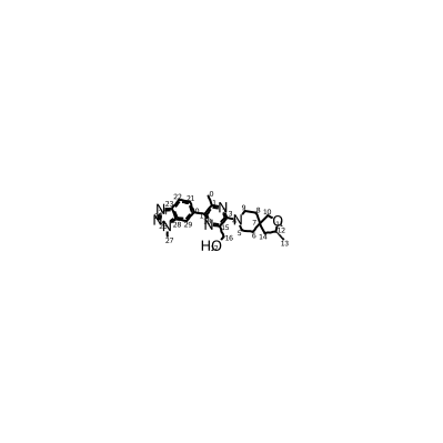 Cc1nc(N2CCC3(CC2)CO[C@@H](C)C3)c(CO)nc1-c1ccc2nnn(C)c2c1